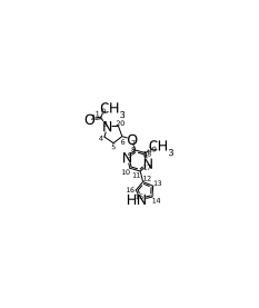 CC(=O)N1CCC(Oc2ncc(-c3cc[nH]c3)nc2C)C1